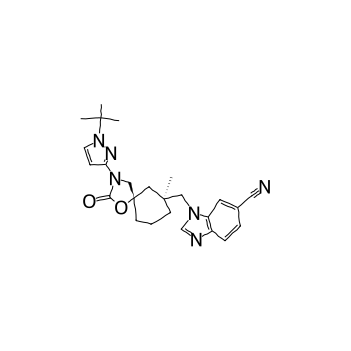 CC(C)(C)n1ccc(N2C[C@@]3(CCC[C@](C)(Cn4cnc5ccc(C#N)cc54)C3)OC2=O)n1